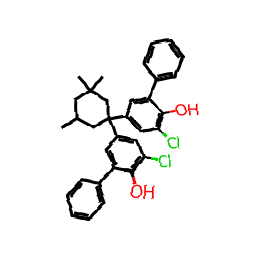 CC1CC(C)(C)CC(c2cc(Cl)c(O)c(-c3ccccc3)c2)(c2cc(Cl)c(O)c(-c3ccccc3)c2)C1